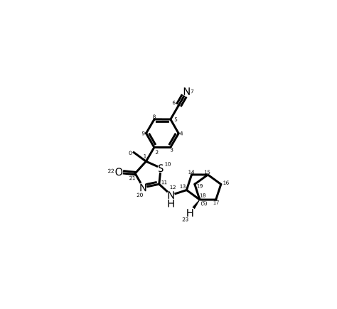 CC1(c2ccc(C#N)cc2)SC(NC2CC3CC[C@H]2C3)=NC1=O